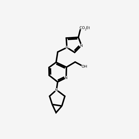 CCOC(=O)c1cn(Cc2ccc(N3CC4CC4C3)nc2CO)cn1